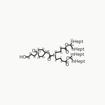 CCCCCCCC(CCCCCCC)OC(=O)CCCN(CCCC(=O)OC(CCCCCCC)CCCCCCC)C(=O)SC1CC[N+]([O-])(CCCO)CC1